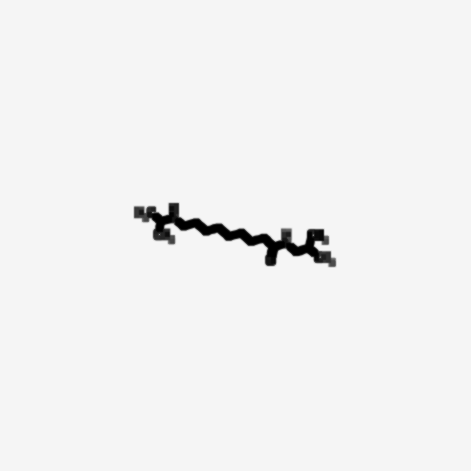 CC(C)CNC(=O)CCCCCCCCNC(C)C